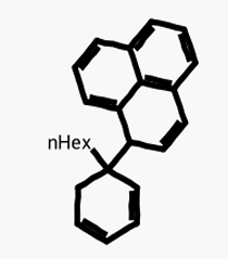 CCCCCCC1(C2C=Cc3cccc4cccc2c34)C=CC=CC1